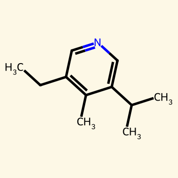 CCc1cncc(C(C)C)c1C